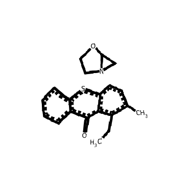 C1CN2CC2O1.CCc1c(C)ccc2sc3ccccc3c(=O)c12